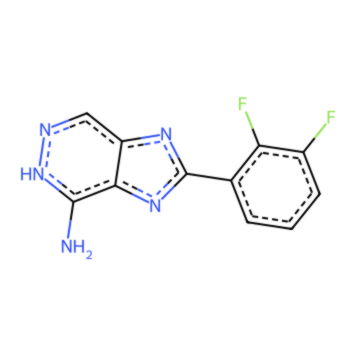 Nc1[nH]ncc2nc(-c3cccc(F)c3F)nc1-2